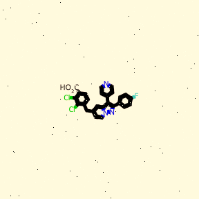 O=C(O)c1ccc(Cc2ccn3nc(-c4ccc(F)cc4)c(-c4ccncc4)c3c2)c(Cl)c1Cl